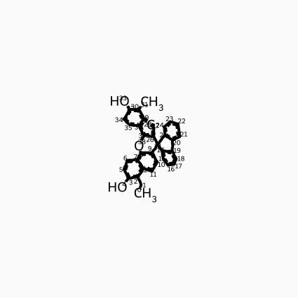 CCc1c(O)ccc2c3c(ccc12)C1(c2ccccc2-c2ccccc21)c1ccc2c(C)c(O)ccc2c1O3